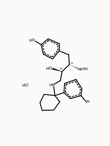 CC(=O)N[C@@H](Cc1ccc(O)cc1)[C@H](O)CNC1(c2cccc(C(C)C)c2)CCCCC1.Cl